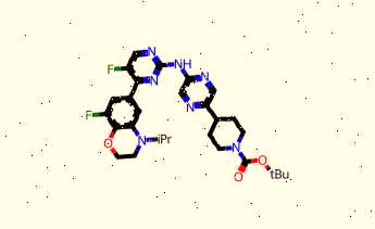 CC(C)N1CCOc2c(F)cc(-c3nc(Nc4cnc(C5CCN(C(=O)OC(C)(C)C)CC5)cn4)ncc3F)cc21